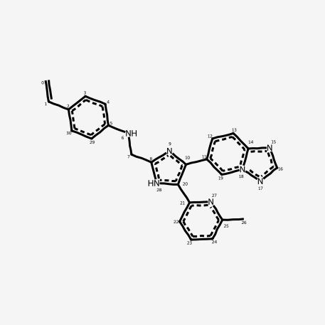 C=Cc1ccc(NCc2nc(-c3ccc4ncnn4c3)c(-c3cccc(C)n3)[nH]2)cc1